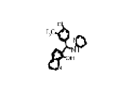 Oc1c(C(Nc2ccccn2)c2ccc(Cl)c(C(F)(F)F)c2)ccc2cccnc12